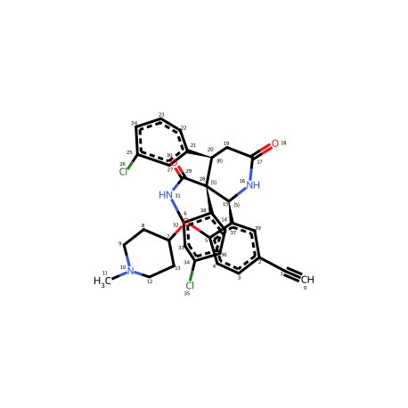 C#Cc1ccc(OC2CCN(C)CC2)c([C@@H]2NC(=O)C[C@H](c3cccc(Cl)c3)[C@@]23C(=O)Nc2cc(Cl)ccc23)c1